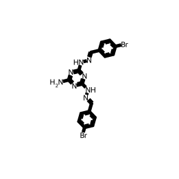 Nc1nc(NN=Cc2ccc(Br)cc2)nc(NN=Cc2ccc(Br)cc2)n1